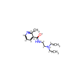 CCN(CC)CCNC(=O)c1cccnc1C